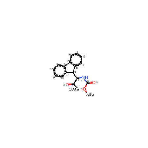 COC(=O)C(NC(=O)OC(C)(C)C)C1c2ccccc2-c2ccccc21